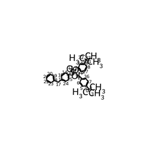 CC(C)(C)c1ccc([I+](OS(=O)(=O)c2ccc(Cc3ccccc3)cc2)c2ccc(C(C)(C)C)cc2)cc1